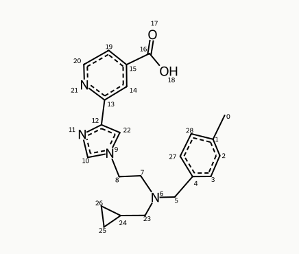 Cc1ccc(CN(CCn2cnc(-c3cc(C(=O)O)ccn3)c2)CC2CC2)cc1